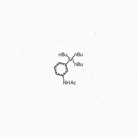 [CH2]C(=O)Nc1ccc[c]([Sn]([CH2]CCC)([CH2]CCC)[CH2]CCC)c1